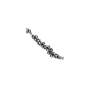 C=CC(=O)OCCCCOC(=O)Oc1ccc2cc(C(=O)Oc3ccc(C(=O)O[C@@H]4COC5C4OC[C@H]5OC(=O)c4ccc(O)cc4)cc3)ccc2c1